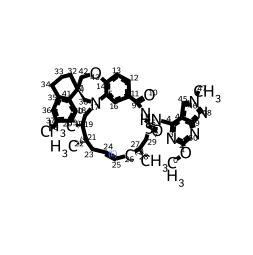 COc1nc(NS2(=O)=NC(=O)c3ccc4c(c3)N(C[C@H](C)[C@@H](C)C/C=C/C[C@H](C)C2)C[C@@]2(CCCc3cc(Cl)ccc32)CO4)c2cn(C)nc2n1